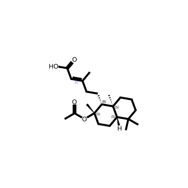 CC(=O)O[C@@]1(C)CC[C@H]2C(C)(C)CCC[C@]2(C)[C@H]1CC/C(C)=C/C(=O)O